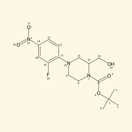 CC(C)(C)OC(=O)N1CCN(c2ccc([N+](=O)[O-])cc2F)CC1CO